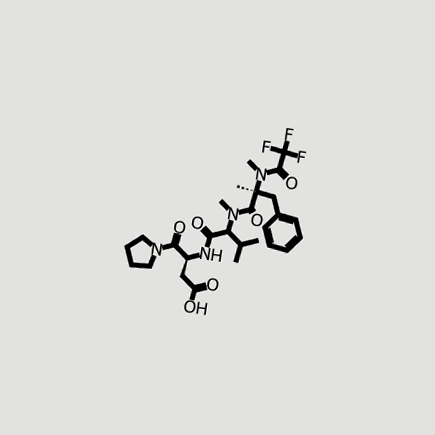 CC(C)C(C(=O)N[C@@H](CC(=O)O)C(=O)N1CCCC1)N(C)C(=O)[C@](C)(Cc1ccccc1)N(C)C(=O)C(F)(F)F